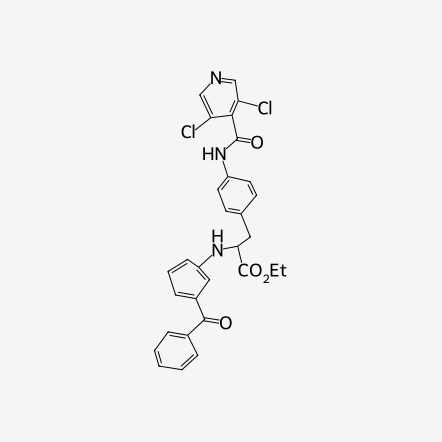 CCOC(=O)C(Cc1ccc(NC(=O)c2c(Cl)cncc2Cl)cc1)Nc1cccc(C(=O)c2ccccc2)c1